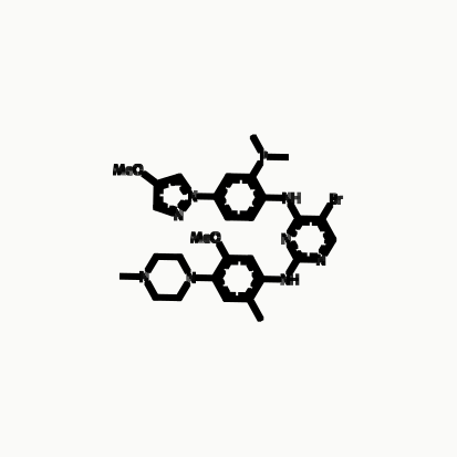 COc1cnn(-c2ccc(Nc3nc(Nc4cc(OC)c(N5CCN(C)CC5)cc4C)ncc3Br)c(P(C)C)c2)c1